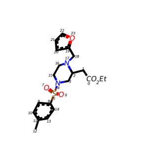 CCOC(=O)CC1CN(S(=O)(=O)c2ccc(C)cc2)CCN1Cc1ccco1